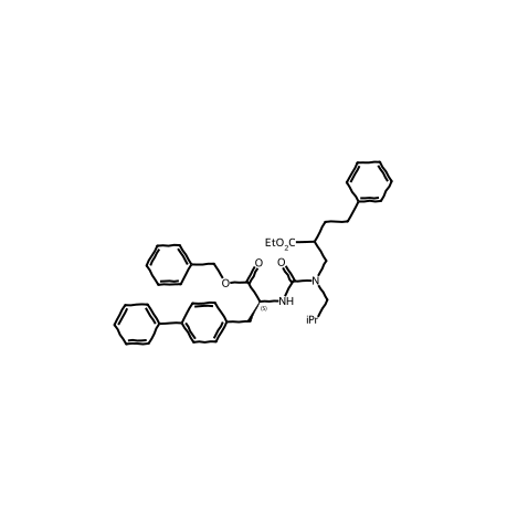 CCOC(=O)C(CCc1ccccc1)CN(CC(C)C)C(=O)N[C@@H](Cc1ccc(-c2ccccc2)cc1)C(=O)OCc1ccccc1